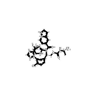 C[C@H](NC(=O)OC[C@@H]1c2ccc(Cl)c(c2)-n2ncnc2C(F)/N=C(\NCCC(C)(C)C)N1C(=O)c1ccn2nccc2c1)C(F)(F)F